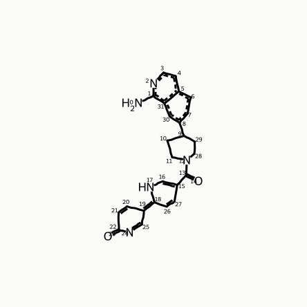 Nc1nccc2ccc(C3CCN(C(=O)C4=CNC(=C5C=CC(=O)N=C5)C=C4)CC3)cc12